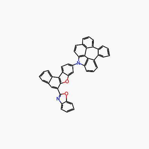 c1ccc2c(c1)-c1cccc3ccc4c(c13)c1c-2cccc1n4-c1ccc2c(c1)oc1c(-c3nc4ccccc4o3)cc3ccccc3c12